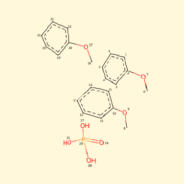 COc1ccccc1.COc1ccccc1.COc1ccccc1.O=P(O)(O)O